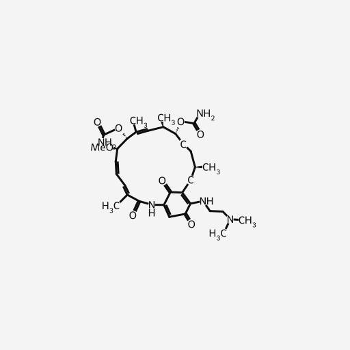 CO[C@@H]1/C=C\C=C(/C)C(=O)NC2=CC(=O)C(NCCN(C)C)=C(C[C@H](C)CC[C@@H](OC(N)=O)[C@H](C)/C=C(\C)[C@H]1OC(N)=O)C2=O